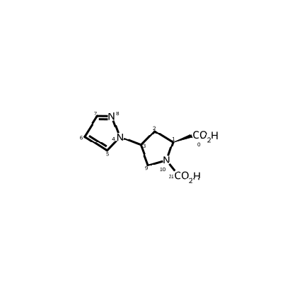 O=C(O)[C@@H]1CC(n2cccn2)CN1C(=O)O